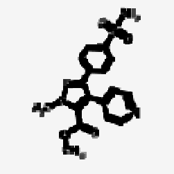 COC(=O)c1c(-c2ccncc2)c(-c2ccc(S(N)(=O)=O)cc2)nn1C